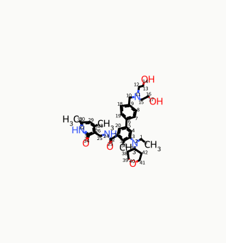 CCN(c1cc(-c2ccc(CN(CCO)CCO)cc2)cc(C(=O)NCc2c(C)cc(C)[nH]c2=O)c1C)C1CCOCC1